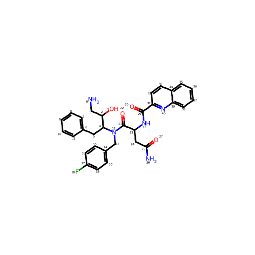 NCC(O)C(Cc1ccccc1)N(Cc1ccc(F)cc1)C(=O)C(CC(N)=O)NC(=O)c1ccc2ccccc2n1